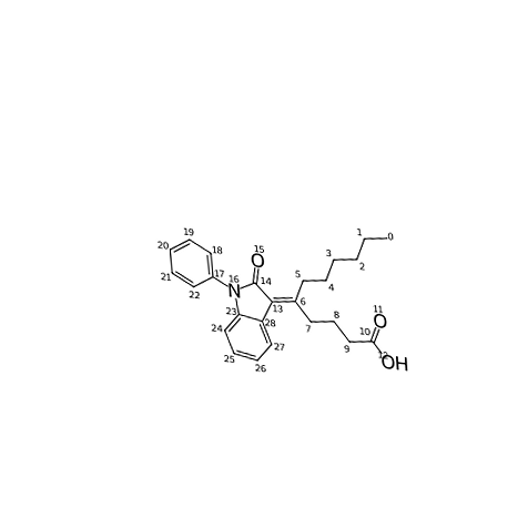 CCCCCC/C(CCCC(=O)O)=C1\C(=O)N(c2ccccc2)c2ccccc21